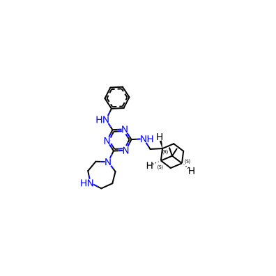 CC1(C)[C@H]2CC[C@@H](CNc3nc(Nc4ccccc4)nc(N4CCCNCC4)n3)[C@@H]1C2